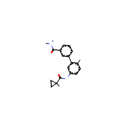 Cc1ccc(NC(=O)C2(C)CC2)cc1-c1cccc(C(=O)N(C)C)c1